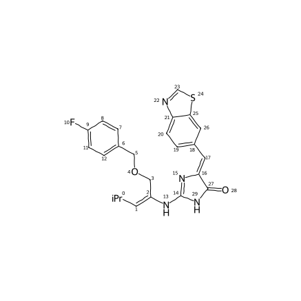 CC(C)/C=C(\COCc1ccc(F)cc1)NC1=N/C(=C\c2ccc3ncsc3c2)C(=O)N1